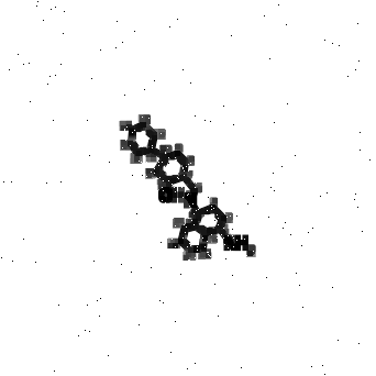 Nc1ccc(/N=C/c2ccc(-c3ccccc3)cc2O)c2ccccc12